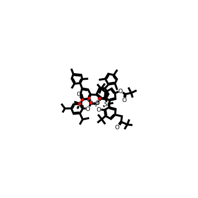 Cc1cc(C)c(-c2cc(-c3cc(-c4c(C)cc(C)cc4C)cc([Si](C)(C)C)c3Op3oc4c(C(C)(C)C)cc(CC(=O)C(C)(C)C)cc4c4cc(OC(=O)C(C)(C)C)cc(C(C)(C)C)c4o3)c(OP3OC(=O)c4cc(C(C)C)cc(C(C)C)c4O3)c([Si](C)(C)C)c2)c(C)c1